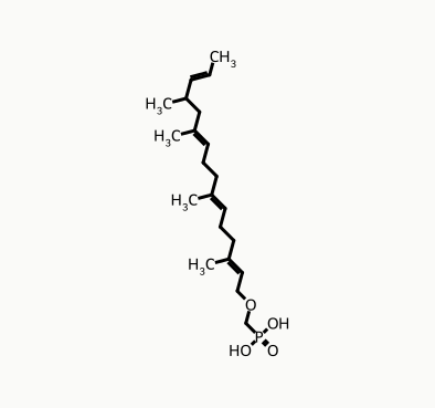 C/C=C/C(C)C/C(C)=C/CC/C(C)=C/CC/C(C)=C/COCP(=O)(O)O